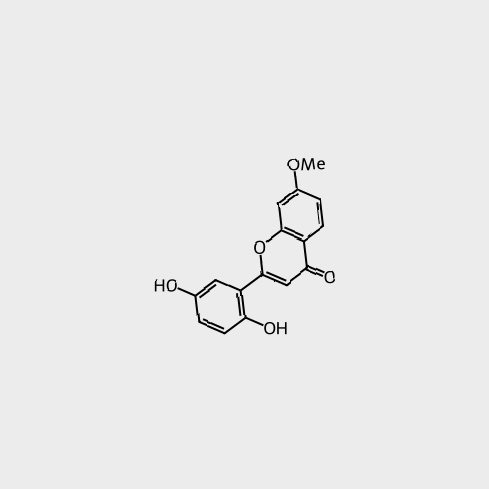 COc1ccc2c(=O)cc(-c3cc(O)ccc3O)oc2c1